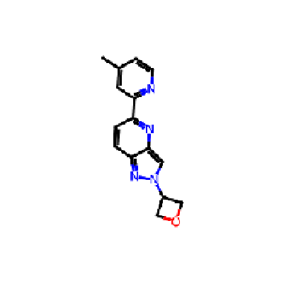 Cc1ccnc(-c2ccc3nn(C4COC4)cc3n2)c1